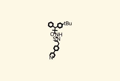 CC(C)(C)c1ccc(C(c2ccccc2)C(C)(C)C(=O)Nc2nc(Cc3ccc(-c4ccncc4)cc3)cs2)cc1